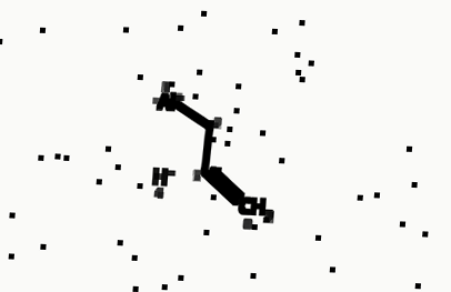 C=C[CH2][Al+].[H-]